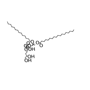 CCCCCCCCCCCCCCCCCC(=O)OC[C@H](COP(=O)(O)OCCC(O)CO)OC(=O)CCCCCCCCCCCCC